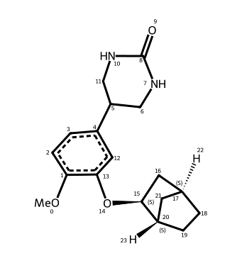 COc1ccc(C2CNC(=O)NC2)cc1O[C@H]1C[C@H]2CC[C@H]1C2